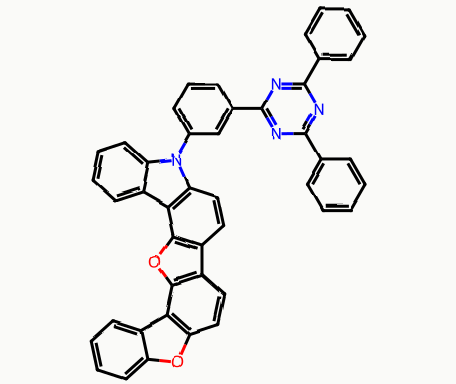 c1ccc(-c2nc(-c3ccccc3)nc(-c3cccc(-n4c5ccccc5c5c6oc7c(ccc8oc9ccccc9c87)c6ccc54)c3)n2)cc1